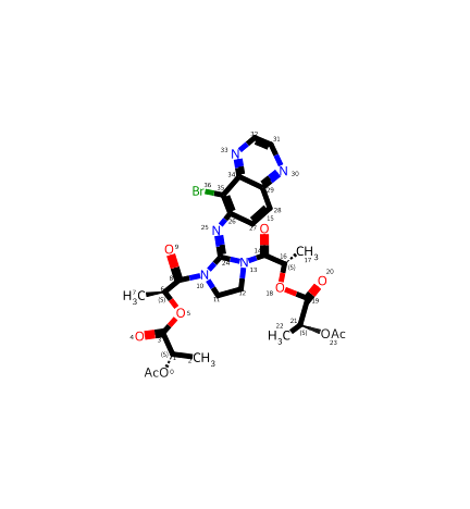 CC(=O)O[C@@H](C)C(=O)O[C@@H](C)C(=O)N1CCN(C(=O)[C@H](C)OC(=O)[C@H](C)OC(C)=O)C1=Nc1ccc2nccnc2c1Br